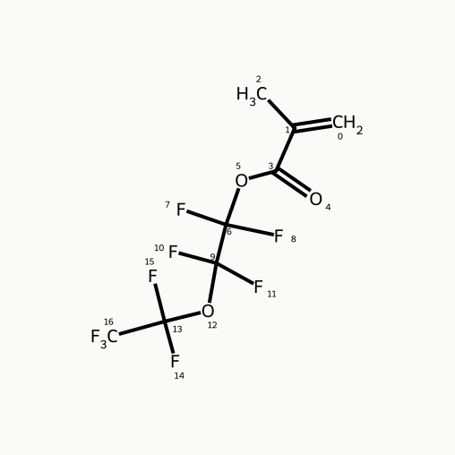 C=C(C)C(=O)OC(F)(F)C(F)(F)OC(F)(F)C(F)(F)F